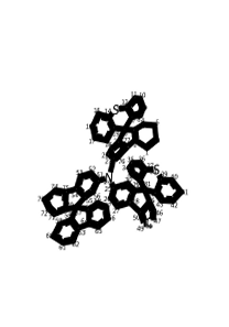 C1=CC2=C(CC1)C1(c3ccccc3Sc3ccccc31)c1ccc(N(c3ccc4c(c3)C3(c5ccccc5Sc5ccccc53)c3ccccc3-4)c3ccc4c(c3)C3(c5ccccc5-c5ccccc53)c3ccccc3-4)cc12